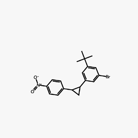 CC(C)(C)c1cc(Br)cc(C2CC2c2ccc([N+](=O)[O-])cc2)c1